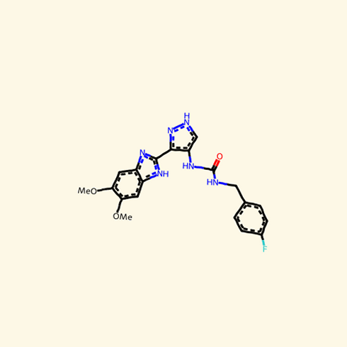 COc1cc2nc(-c3n[nH]cc3NC(=O)NCc3ccc(F)cc3)[nH]c2cc1OC